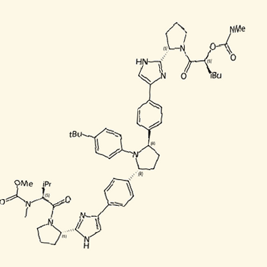 CCC(C)[C@H](OC(=O)NC)C(=O)N1CCC[C@H]1c1nc(-c2ccc([C@H]3CC[C@H](c4ccc(-c5c[nH]c([C@@H]6CCCN6C(=O)[C@H](C(C)C)N(C)C(=O)OC)n5)cc4)N3c3ccc(C(C)(C)C)cc3)cc2)c[nH]1